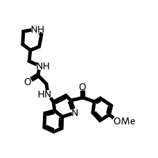 COc1ccc(C(=O)c2cc(NCC(=O)NCC3CCNCC3)c3ccccc3n2)cc1